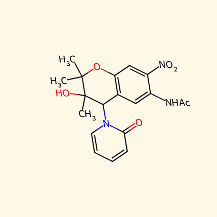 CC(=O)Nc1cc2c(cc1[N+](=O)[O-])OC(C)(C)C(C)(O)C2n1ccccc1=O